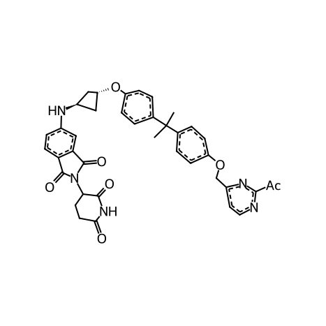 CC(=O)c1nccc(COc2ccc(C(C)(C)c3ccc(O[C@H]4C[C@H](Nc5ccc6c(c5)C(=O)N(C5CCC(=O)NC5=O)C6=O)C4)cc3)cc2)n1